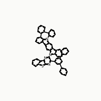 c1ccc(-c2cc(-c3ccccc3)cc(-c3nc4sc5ccccc5c4nc3-n3c4ccccc4c4cc5c(cc43)c3cccc4c3n5-c3ccccc3-c3ccccc3-4)c2)cc1